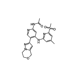 CC(=O)Nc1cc(Nc2cc(C)cc(S(C)(=O)=O)n2)c(-c2cc3n(n2)CCOC3)cn1